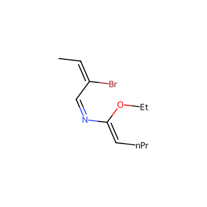 C\C=C(Br)/C=N\C(=C\CCC)OCC